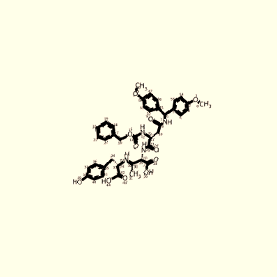 COc1ccc(C(NC(=O)C[C@H](NC(=O)OCc2ccccc2)C(=O)N[C@H](C(=O)O)[C@@H](C)N[C@@H](Cc2ccc(O)cc2)C(=O)O)c2ccc(OC)cc2)cc1